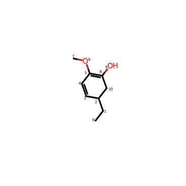 CCC1C=CC(OC)=C(O)C1